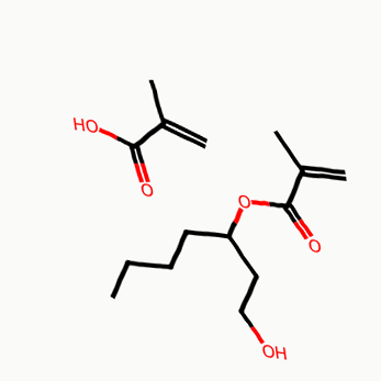 C=C(C)C(=O)O.C=C(C)C(=O)OC(CCO)CCCC